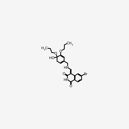 CCCOC1=CC(CNC=C2C(=O)NC(=O)c3ccc(Br)cc32)=CCC1(O)OCCC